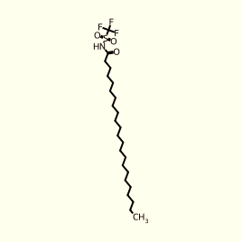 CCCCCCCCCCCCCCCCCCCCCCC(=O)NS(=O)(=O)C(F)(F)F